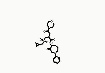 O=C(NC1CCCN(c2ccccc2)CC1=O)C(CC(=O)N1CCOCC1)CS(=O)(=O)CC1CC1